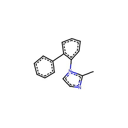 Cc1nccn1-c1ccccc1-c1ccccc1